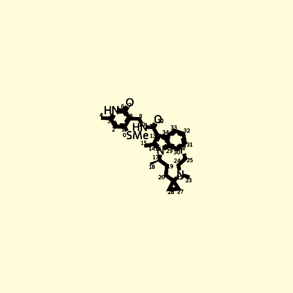 CSc1cc(C)[nH]c(=O)c1CNC(=O)c1c(C)n([C@H](C)CCC2(N(C)CCF)CC2)c2ccccc12